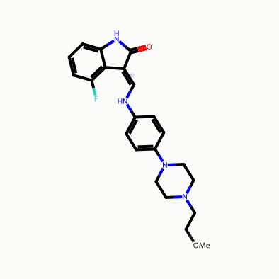 COCCN1CCN(c2ccc(N/C=C3/C(=O)Nc4cccc(F)c43)cc2)CC1